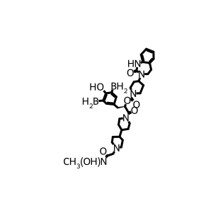 Bc1cc(C[C@@H](OC(=O)N2CCC(N3CCc4ccccc4NC3=O)CC2)C(=O)N2CCC(C3CCN(CC(=O)N(C)O)CC3)CC2)cc(B)c1O